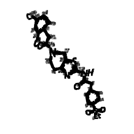 CCS(=O)(=O)c1ccc(CC(=O)Nc2nc3c(s2)CN(C(=O)Cc2ccc(Cl)cc2Cl)CC3)cc1